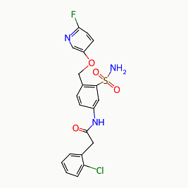 NS(=O)(=O)c1cc(NC(=O)Cc2ccccc2Cl)ccc1COc1ccc(F)nc1